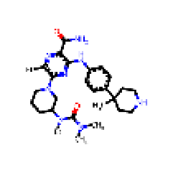 CCc1nc(C(N)=O)c(Nc2ccc(C3(C)CCNCC3)cc2)nc1N1CCCC(N(CC)C(=O)N(C)C)C1